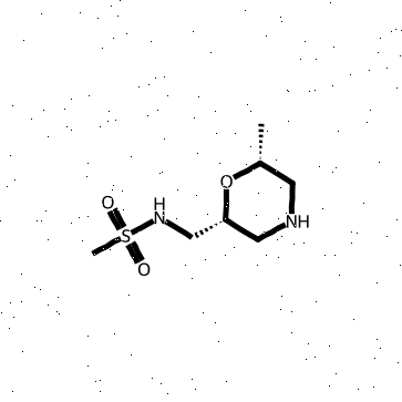 C[C@@H]1CNC[C@H](CNS(C)(=O)=O)O1